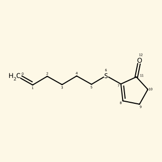 C=CCCCCSC1=CCCC1=O